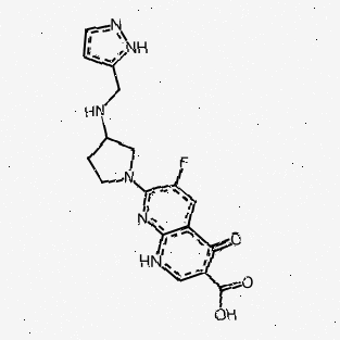 O=C(O)c1c[nH]c2nc(N3CCC(NCc4ccn[nH]4)C3)c(F)cc2c1=O